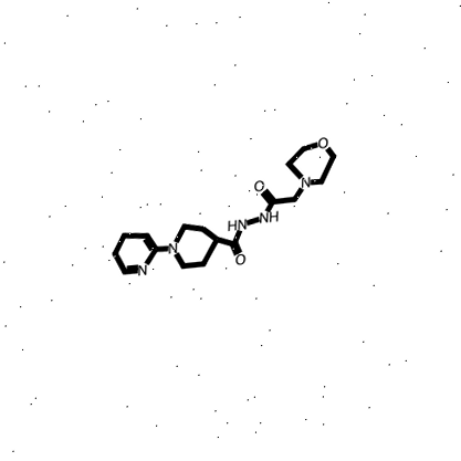 O=C(CN1CCOCC1)NNC(=O)C1CCN(C2=CCCC=N2)CC1